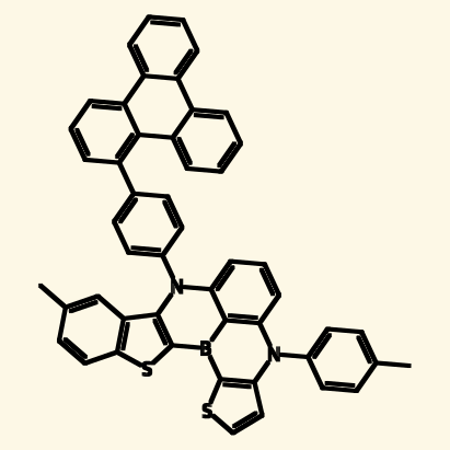 Cc1ccc(N2c3ccsc3B3c4sc5ccc(C)cc5c4N(c4ccc(-c5cccc6c7ccccc7c7ccccc7c56)cc4)c4cccc2c43)cc1